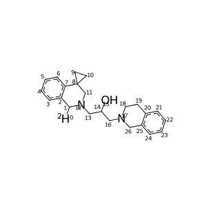 [2H]C1c2ccccc2C2(CC2)CN1CC(O)CN1CCc2ccccc2C1